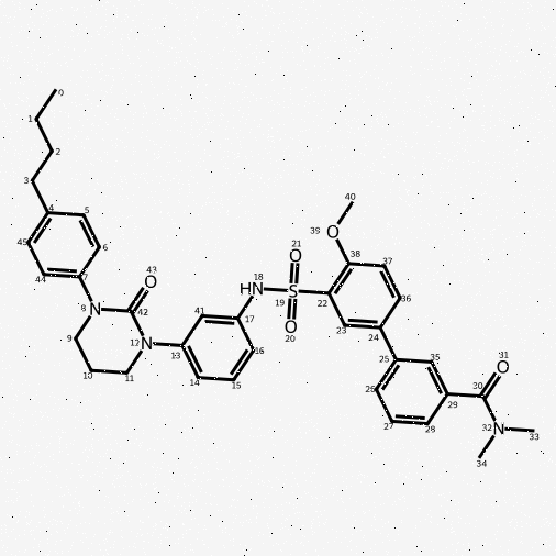 CCCCc1ccc(N2CCCN(c3cccc(NS(=O)(=O)c4cc(-c5cccc(C(=O)N(C)C)c5)ccc4OC)c3)C2=O)cc1